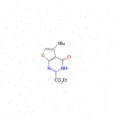 CCOC(=O)c1nc2scc(C(C)(C)C)c2c(=O)[nH]1